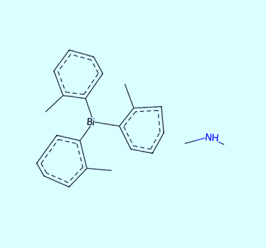 CNC.Cc1cccc[c]1[Bi]([c]1ccccc1C)[c]1ccccc1C